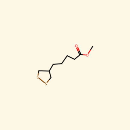 COC(=O)CCCCC1CSSC1